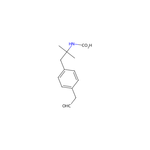 CC(C)(Cc1ccc(CC=O)cc1)NC(=O)O